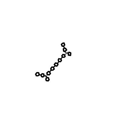 c1ccc(-c2ccc(N(c3ccccc3)c3ccc(-c4ccc(-c5ccc(-c6ccc(-c7ccc(N(c8ccccc8)c8ccc(-c9ccccc9)cc8)cc7)cc6)cc5)cc4)cc3)cc2)cc1